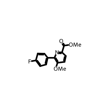 COC(=O)c1ccc(OC)c(-c2ccc(F)cc2)n1